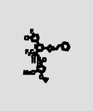 COc1cc(C(=O)NCC(O)(c2cc(C3CN(CCc4ccccc4)C3)cc(-c3ccc(F)c(Cl)c3)n2)C(F)(F)F)ccc1OC1CC1